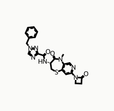 CN1C(=O)[C@@H](NC(=O)c2ncn(Cc3ccccc3)n2)CSc2cc(N3CCC3=O)ncc21